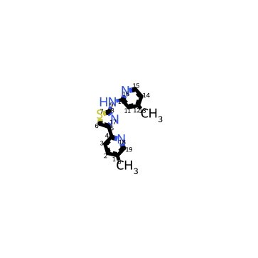 Cc1ccc(-c2csc(Nc3cc(C)ccn3)n2)nc1